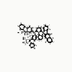 CC1(C)c2ccccc2-c2ccc(N(c3ccc4c(c3)C(C)(C)c3ccccc3-4)c3cccc4c3-c3ccccc3C43c4ccccc4-c4cc5ccccc5cc43)cc21